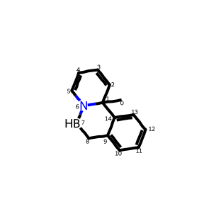 CC12C=CC=CN1BCc1ccccc12